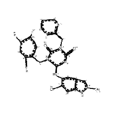 Cn1cc2cc(Nc3nc(=O)n(Cc4ncccn4)c(=O)n3Cc3cc(F)c(F)cc3F)c(Cl)cc2n1